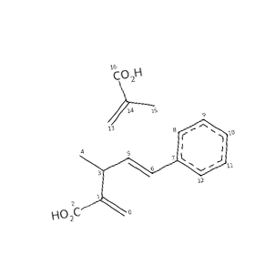 C=C(C(=O)O)C(C)C=Cc1ccccc1.C=C(C)C(=O)O